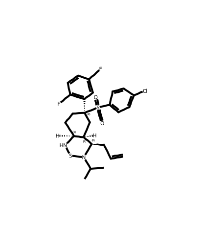 C=CC[C@@H]1[C@@H]2C[C@](c3cc(F)ccc3F)(S(=O)(=O)c3ccc(Cl)cc3)CC[C@@H]2NSN1C(C)C